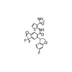 NC(=O)c1ccsc1NC(=O)c1cc(Cl)c(C(F)(F)F)cc1C1CCOc2cc(F)ccc21